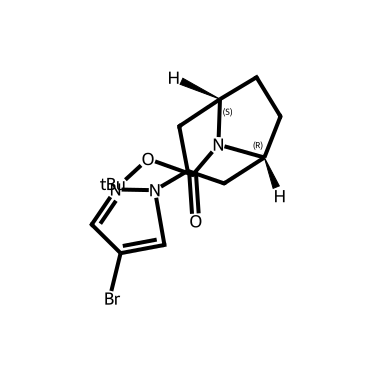 CC(C)(C)OC(=O)N1[C@@H]2CC[C@H]1CC(n1cc(Br)cn1)C2